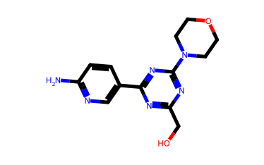 Nc1ccc(-c2nc(CO)nc(N3CCOCC3)n2)cn1